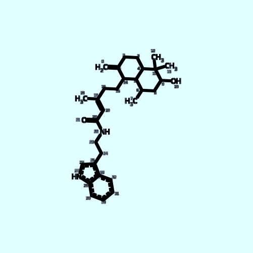 C=C1CCC2C(C(C)CC(O)C2(C)C)C1CCC(C)=CC(=O)NCCc1c[nH]c2ccccc12